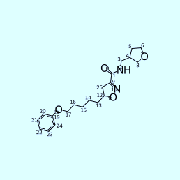 O=C(NCC1CCOC1)C1=NOC(CCCCCOc2ccccc2)C1